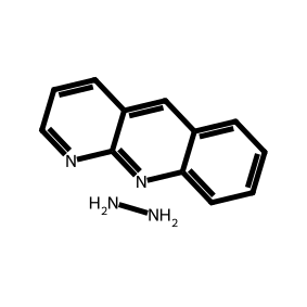 NN.c1ccc2nc3ncccc3cc2c1